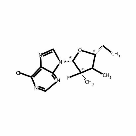 CC[C@H]1O[C@@H](n2cnc3c(Cl)ncnc32)[C@](C)(F)C1C